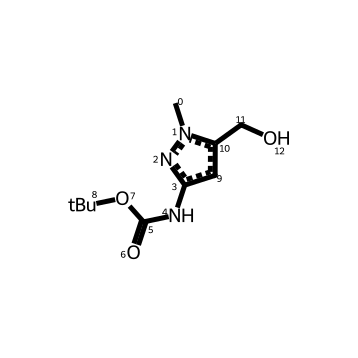 Cn1nc(NC(=O)OC(C)(C)C)cc1CO